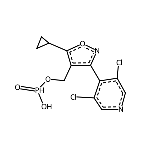 O=[PH](O)OCc1c(-c2c(Cl)cncc2Cl)noc1C1CC1